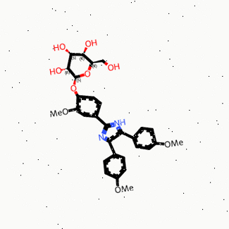 COc1ccc(-c2nc(-c3ccc(O[C@@H]4O[C@H](CO)[C@H](O)[C@H](O)[C@H]4O)c(OC)c3)[nH]c2-c2ccc(OC)cc2)cc1